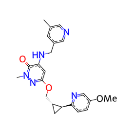 COc1ccc([C@H]2C[C@@H]2COc2cc(NCc3cncc(C)c3)c(=O)n(C)n2)nc1